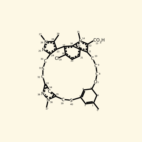 CC1=CC2=CC(C1)OCCCc1c(C(=O)O)n(C)c3c(c(Cl)ccc13)-c1c(nn(C)c1C)CSCc1cc(n(C)n1)CS2